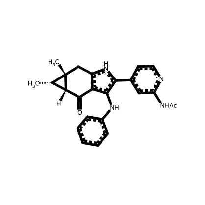 CC(=O)Nc1cc(-c2[nH]c3c(c2Nc2ccccc2)C(=O)[C@@H]2[C@H](C)[C@]2(C)C3)ccn1